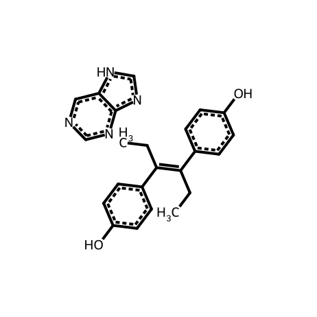 CC/C(=C(/CC)c1ccc(O)cc1)c1ccc(O)cc1.c1ncc2[nH]cnc2n1